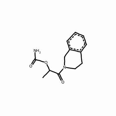 CC(OC(N)=O)C(=O)N1CCc2ccccc2C1